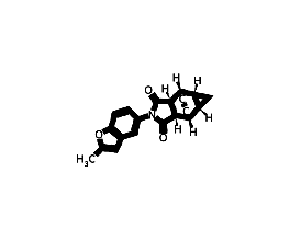 Cc1cc2cc(N3C(=O)[C@@H]4[C@@H]5CC[C@@H]([C@H]6C[C@H]65)[C@@H]4C3=O)ccc2o1